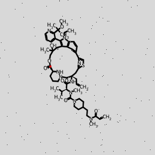 C=CC[C@]1(NC(=O)[C@H](C(C)C)N(C)C(=O)N2CCC(CCN(C)C(=O)C=C)CC2)Cc2nc(cs2)-c2ccc3c(c2)c(c(-c2cccnc2C(C)(C)OC)n3CC)CC(C)(C)COC(=O)[C@@H]2CCCN(N2)C1=O